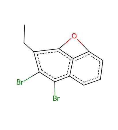 CCc1c(Br)c(Br)c2cccc3c2c1O3